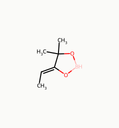 C/C=C1\OBOC1(C)C